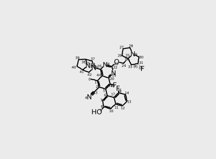 Cc1c(C#N)c(-c2cc(O)cc3cccc(F)c23)c(F)c2nc(OC[C@@]34CCCN3C[C@H](F)C4)nc(N3CC4CCC(C3)N4)c12